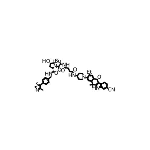 CCc1cc2c(cc1N1CCC(NC(=O)CCC(=O)NC(C(=O)N3C[C@H](O)C[C@H]3C(=O)NCc3ccc(-c4scnc4C)cc3)C(C)(C)C)CC1)C(C)(C)c1[nH]c3cc(C#N)ccc3c1C2=O